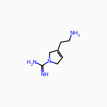 N=C(N)N1CC=C(CCN)C1